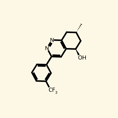 C[C@H]1Cc2nnc(-c3cccc(C(F)(F)F)c3)cc2[C@H](O)C1